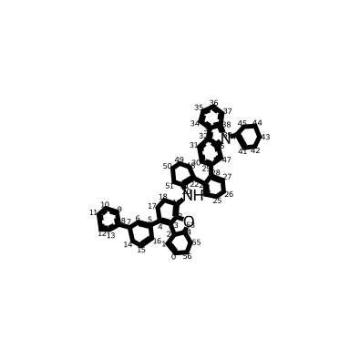 C1=CC2C3=C(C4=CC(c5ccccc5)CC=C4)CCC(NC4=C(C5=CCCC=C5c5ccc6c7ccccc7n(C7=CCCCC7)c6c5)CCCC4)=C3OC2CC1